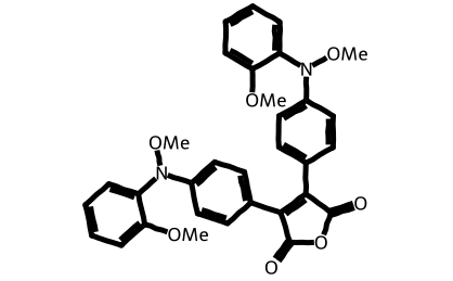 COc1ccccc1N(OC)c1ccc(C2=C(c3ccc(N(OC)c4ccccc4OC)cc3)C(=O)OC2=O)cc1